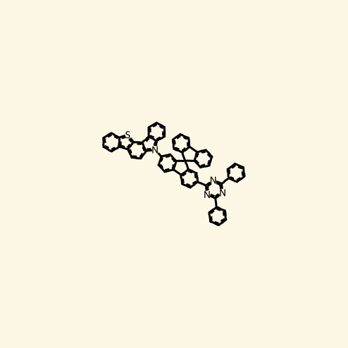 c1ccc(-c2nc(-c3ccccc3)nc(-c3ccc4c(c3)C3(c5ccccc5-c5ccccc53)c3cc(-n5c6ccccc6c6c7sc8ccccc8c7ccc65)ccc3-4)n2)cc1